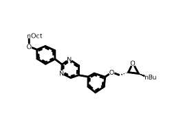 CCCCCCCCOc1ccc(-c2ncc(-c3cccc(OC[C@@H]4O[C@H]4CCCC)c3)cn2)cc1